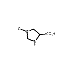 O=C(O)C1C[S+]([O-])CN1